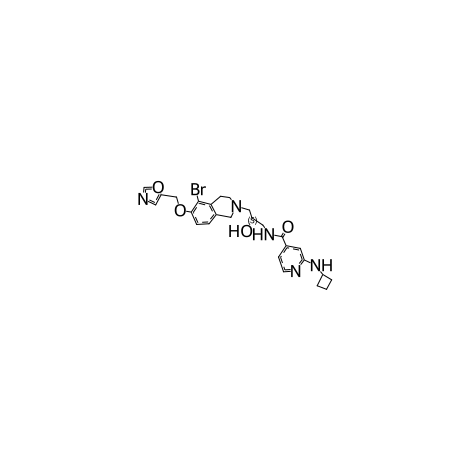 O=C(NC[C@H](O)CN1CCc2c(ccc(OCc3cnco3)c2Br)C1)c1ccnc(NC2CCC2)c1